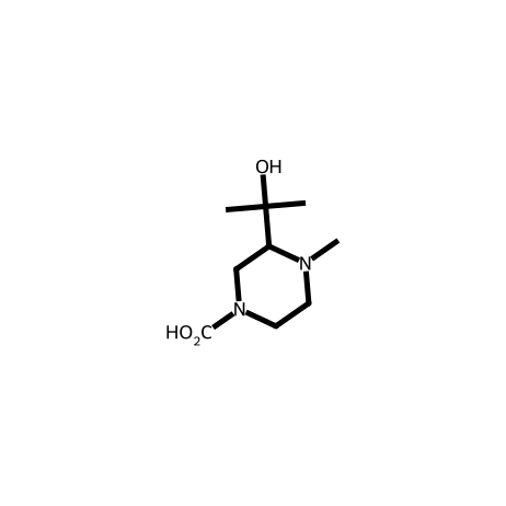 CN1CCN(C(=O)O)CC1C(C)(C)O